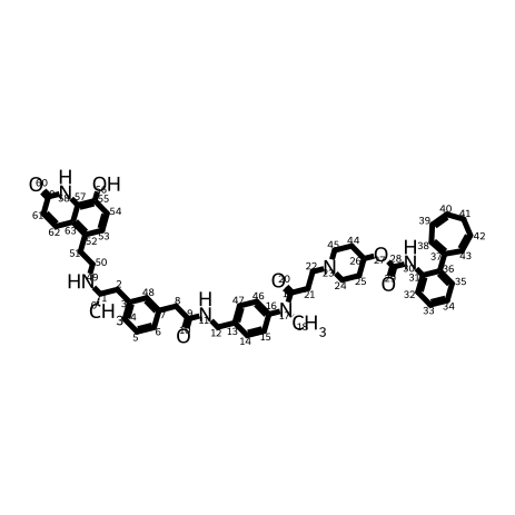 C[C@@H](Cc1cccc(CC(=O)NCc2ccc(N(C)C(=O)CCN3CCC(OC(=O)Nc4ccccc4C4=CC=CCC=C4)CC3)cc2)c1)NCCc1ccc(O)c2[nH]c(=O)ccc12